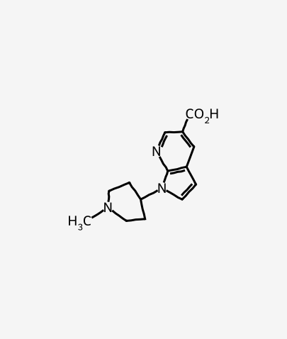 CN1CCC(n2ccc3cc(C(=O)O)cnc32)CC1